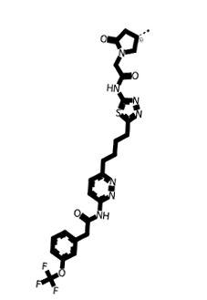 C[C@H]1CC(=O)N(CC(=O)Nc2nnc(CCCCc3ccc(NC(=O)Cc4cccc(OC(F)(F)F)c4)nn3)s2)C1